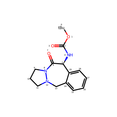 CC(C)(C)OC(=O)N[C@@H]1C(=O)N2CCCN2Cc2ccccc21